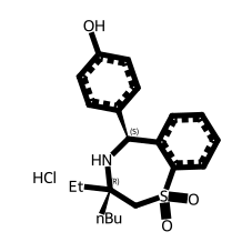 CCCC[C@]1(CC)CS(=O)(=O)c2ccccc2[C@H](c2ccc(O)cc2)N1.Cl